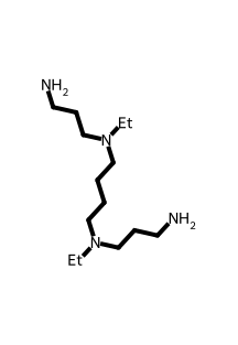 CCN(CCCN)CCCCN(CC)CCCN